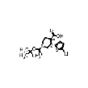 CC(C)(C)OC(=O)N1CC[C@@H](C(=O)O)[C@H](c2ccc(Cl)s2)C1